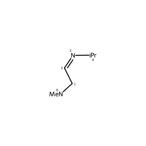 CNC/C=N\C(C)C